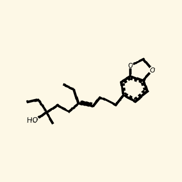 CC/C(=C\CCc1ccc2c(c1)OCO2)CCC(C)(O)CC